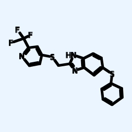 FC(F)(F)c1cc(SCc2nc3cc(Sc4ccccc4)ccc3[nH]2)ccn1